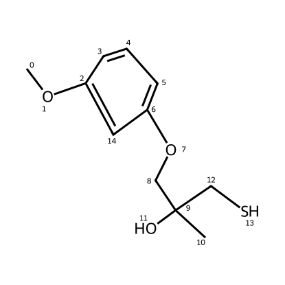 COc1cccc(OCC(C)(O)CS)c1